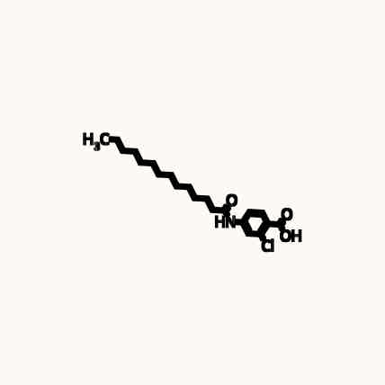 CCCCCCCCCCCCCC(=O)Nc1ccc(C(=O)O)c(Cl)c1